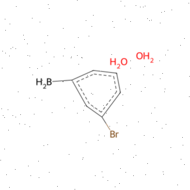 Bc1cccc(Br)c1.O.O